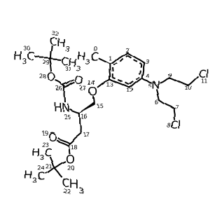 Cc1ccc(N(CCCl)CCCl)cc1OC[C@@H](CC(=O)OC(C)(C)C)NC(=O)OC(C)(C)C